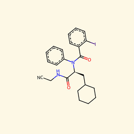 N#CCNC(=O)[C@H](CC1CCCCC1)N(C(=O)c1ccccc1I)c1ccccc1